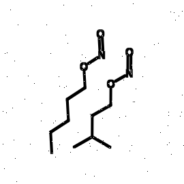 CC(C)CCON=O.CCCCCON=O